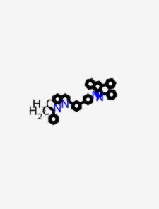 C=C/C(=N\c1c(C)ccc2ccc(-c3cccc(-c4ccc(-n5nc(-c6ccccc6)c6c(-c7ccccc7)cc7ccccc7c65)cc4)c3)nc12)c1ccccc1